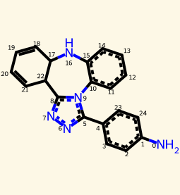 Nc1ccc(-c2nnc3n2-c2ccccc2NC2C=CC=CC32)cc1